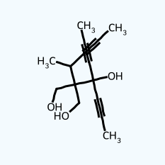 CC#CC(C)C(CO)(CO)C(O)(C#CC)C#CC